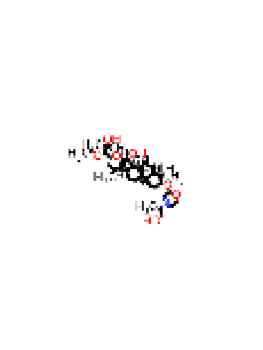 CCO[C@@H]([C@H]1C[C@@H](C)[C@H]2[C@H](O1)[C@H](O)[C@@]1(C)[C@@H]3CC[C@H]4C(C)(C)[C@@H](O[C@H]5CN([C@@H](C)CO)CCO5)CCC45C[C@@]35CC[C@]21C)C(C)(C)O